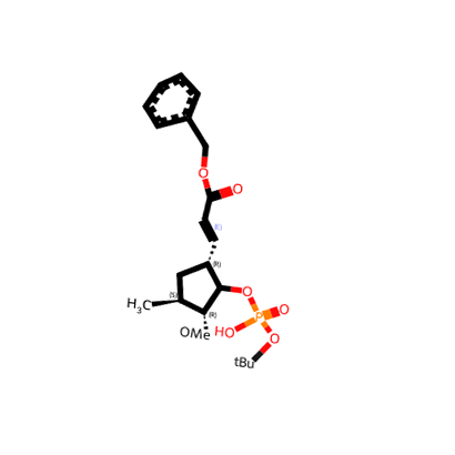 CO[C@H]1C(OP(=O)(O)OC(C)(C)C)[C@@H](/C=C/C(=O)OCc2ccccc2)C[C@@H]1C